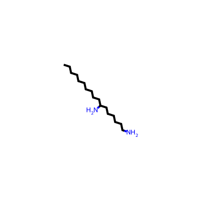 CCCCCCCCCCC(N)CCCCCCN